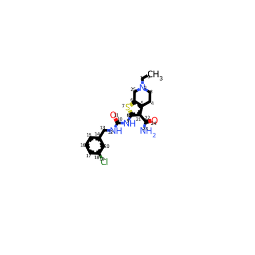 CCN1CCc2c(sc(NC(=O)NCc3cccc(Cl)c3)c2C(N)=O)C1